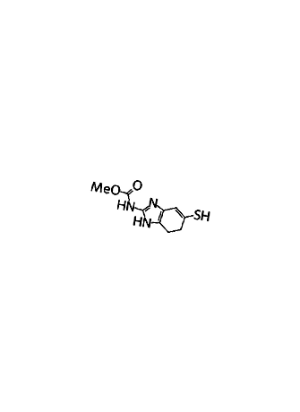 COC(=O)Nc1nc2c([nH]1)CCC(S)=C2